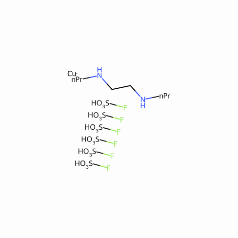 CCCNCCNCCC.O=S(=O)(O)F.O=S(=O)(O)F.O=S(=O)(O)F.O=S(=O)(O)F.O=S(=O)(O)F.O=S(=O)(O)F.[Cu]